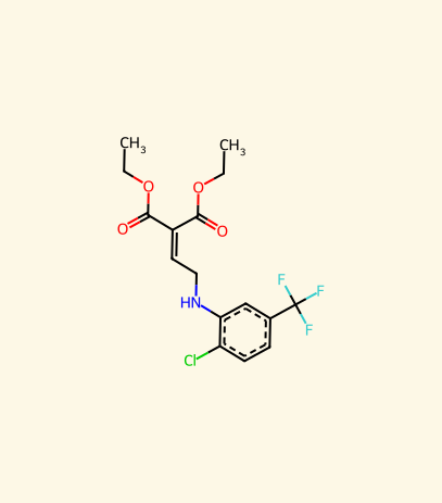 CCOC(=O)C(=CCNc1cc(C(F)(F)F)ccc1Cl)C(=O)OCC